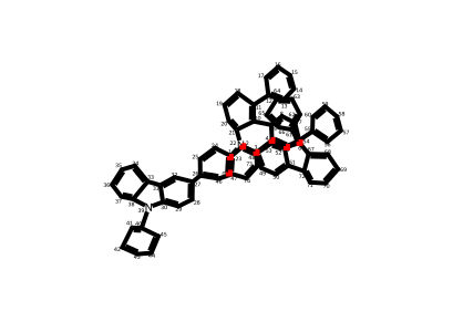 c1ccc(-c2ccccc2-c2c(-c3ccccc3)cccc2N(c2ccc(-c3ccc4c(c3)c3ccccc3n4-c3ccccc3)cc2)c2ccc3c(c2)C(c2ccccc2)(c2ccccc2)c2ccccc2-3)cc1